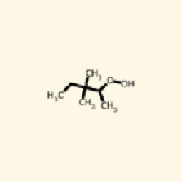 CCC(C)(C)[C](C)OO